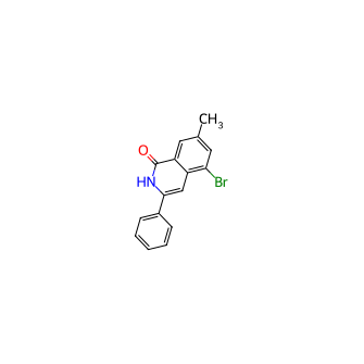 Cc1cc(Br)c2cc(-c3ccccc3)[nH]c(=O)c2c1